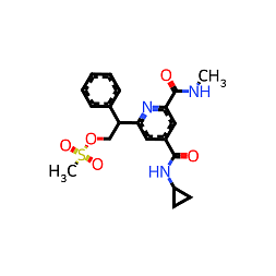 CNC(=O)c1cc(C(=O)NC2CC2)cc(C(COS(C)(=O)=O)c2ccccc2)n1